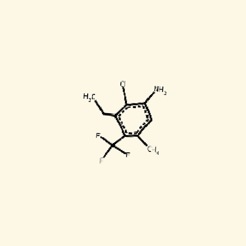 CCc1c(Cl)c(N)cc(C)c1C(F)(F)F